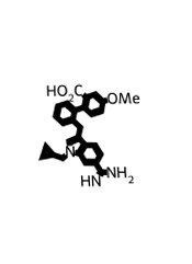 COc1ccc(-c2ccccc2Cc2cn(CC3CC3)c3cc(C(=N)N)ccc23)c(C(=O)O)c1